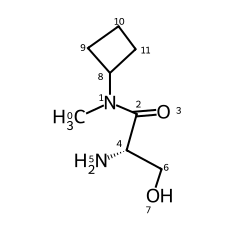 CN(C(=O)[C@@H](N)CO)C1CCC1